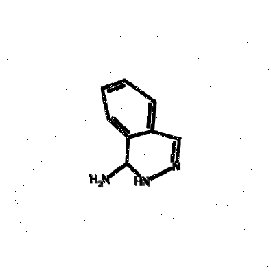 NC1NN=Cc2ccccc21